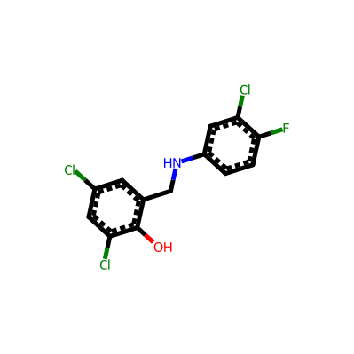 Oc1c(Cl)cc(Cl)cc1CNc1ccc(F)c(Cl)c1